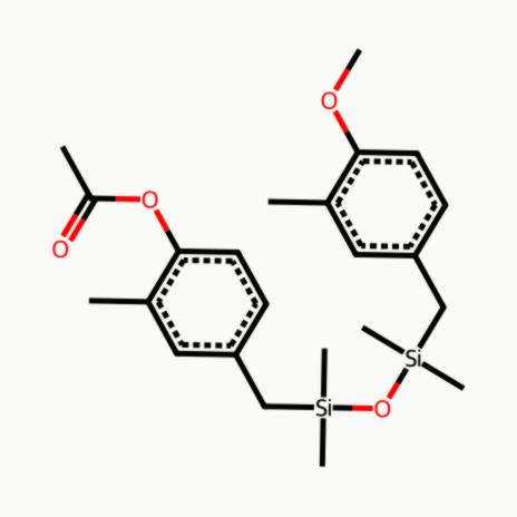 COc1ccc(C[Si](C)(C)O[Si](C)(C)Cc2ccc(OC(C)=O)c(C)c2)cc1C